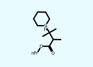 CCCOC(=O)C(C)C(C)(C)[SiH]1CCCCC1